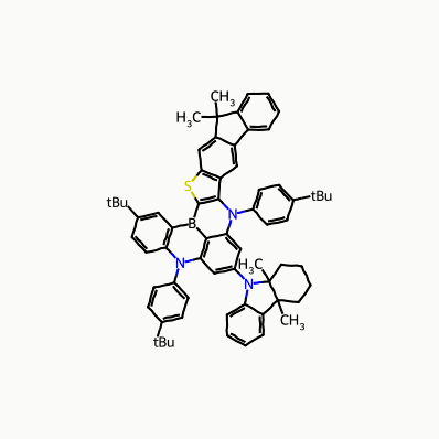 CC(C)(C)c1ccc(N2c3ccc(C(C)(C)C)cc3B3c4sc5cc6c(cc5c4N(c4ccc(C(C)(C)C)cc4)c4cc(N5c7ccccc7C7(C)CCCCC57C)cc2c43)-c2ccccc2C6(C)C)cc1